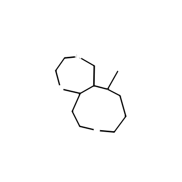 CC1CCCCCCC2SCCNCC12